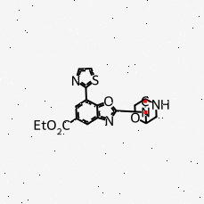 CCOC(=O)c1cc(-c2nccs2)c2oc(N3CC4COC(CN4)C3)nc2c1